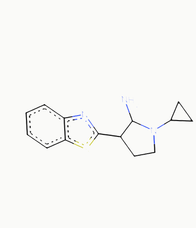 NC1C(c2nc3ccccc3s2)CCN1C1CC1